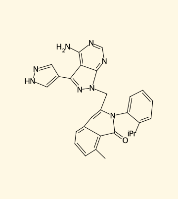 Cc1cccc2cc(Cn3nc(-c4cn[nH]c4)c4c(N)ncnc43)n(-c3ccccc3C(C)C)c(=O)c12